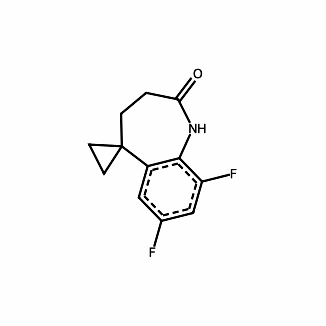 O=C1CCC2(CC2)c2cc(F)cc(F)c2N1